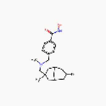 CCC1CC2CC(C1)CC(C)(CN(C)Cc1ccc(C(=O)NO)cc1)C2